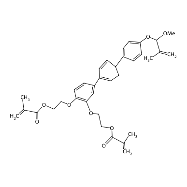 C=C(C)C(=O)OCCOc1ccc(C2=CCC(c3ccc(OC(OC)C(=C)C)cc3)C=C2)cc1OCCOC(=O)C(=C)C